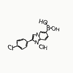 Cl.OB(O)c1ccc2nc(-c3ccc(Cl)cc3)cn2c1